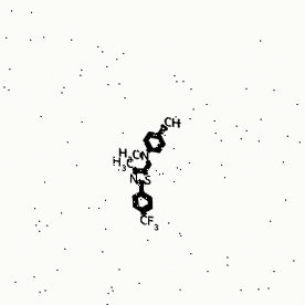 C#Cc1ccc(N(C)CC2SC(c3ccc(C(F)(F)F)cc3)=NC2C)cc1